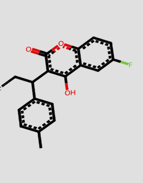 CC(=O)CC(c1ccc(C)cc1)c1c(O)c2cc(F)ccc2oc1=O